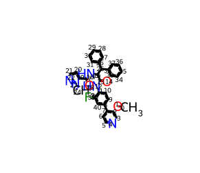 COc1cnccc1-c1ccc(NC(=O)[C@@H](NC(=O)c2ccnn2C)C(c2ccccc2)c2ccccc2)c(F)c1